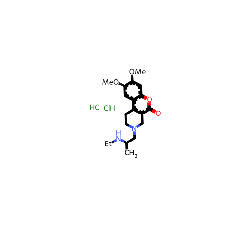 CCNC(C)CN1CCc2c(c(=O)oc3cc(OC)c(OC)cc23)C1.Cl.Cl